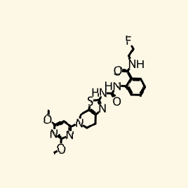 COc1cc(N2CCc3nc(NC(=O)Nc4ccccc4C(=O)NCCF)sc3C2)nc(OC)n1